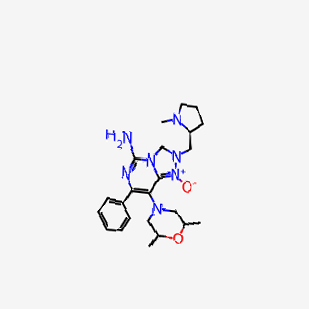 CC1CN(C2=C(c3ccccc3)N=C(N)N3CN(C[C@@H]4CCCN4C)[N+]([O-])=C23)CC(C)O1